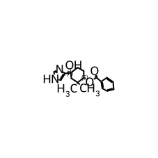 CC1(C)C[C@@](O)(c2c[nH]cn2)CC[C@@H]1OC(=O)c1ccccc1